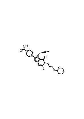 CC#CCn1c(N2CCN(C(=O)O)CC2)nc2c1C(=O)C(CCCOC1CCCCO1)C(Cl)=N2